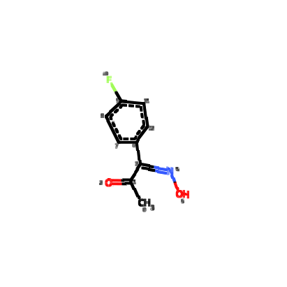 CC(=O)/C(=N\O)c1ccc(F)cc1